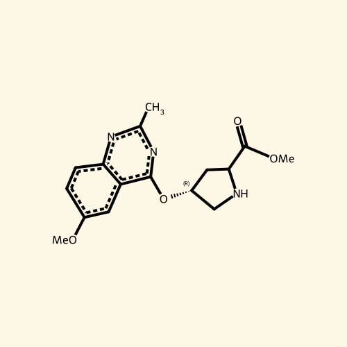 COC(=O)C1C[C@@H](Oc2nc(C)nc3ccc(OC)cc23)CN1